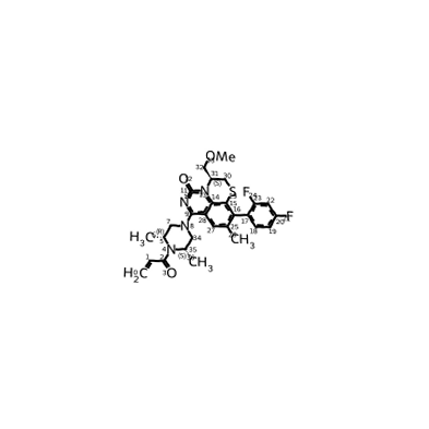 C=CC(=O)N1[C@H](C)CN(c2nc(=O)n3c4c(c(-c5ccc(F)cc5F)c(C)cc24)SC[C@@H]3COC)C[C@@H]1C